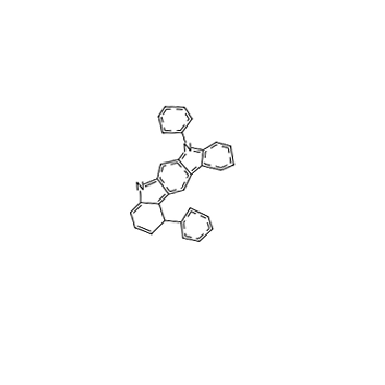 C1=CC(c2ccccc2)C2=c3cc4c5ccccc5n(-c5ccccc5)c4cc3=NC2=C1